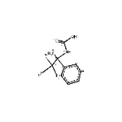 CC(NC(=O)O)(c1ccccc1)C(F)(F)F